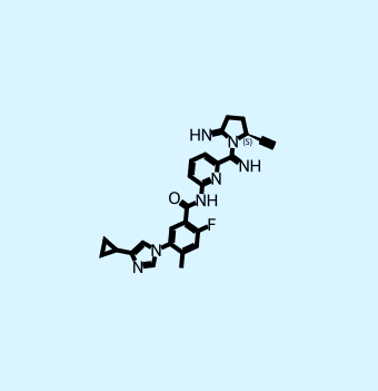 C#C[C@@H]1CCC(=N)N1C(=N)c1cccc(NC(=O)c2cc(-n3cnc(C4CC4)c3)c(C)cc2F)n1